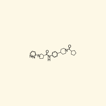 O=C(Nc1ccc(C2CCN(C(=O)C3CCCC3)CC2)cc1)[C@H]1CCN(c2cccnn2)C1